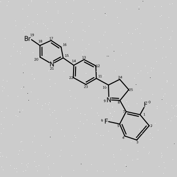 Fc1cccc(F)c1C1=NC(c2ccc(-c3ccc(Br)cn3)cc2)CC1